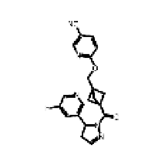 N#Cc1ccc(OCC23CC(C(=O)N4N=CCC4c4cncc(F)c4)(C2)C3)nc1